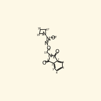 O=C1c2ccccc2C(=O)N1CO/N=[N+](\[O-])N1CCC1